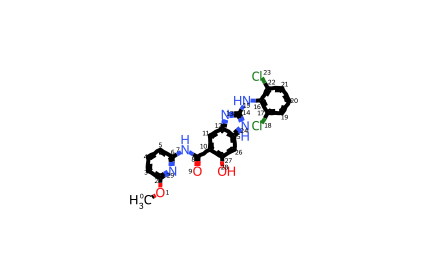 COc1cccc(NC(=O)c2cc3nc(Nc4c(Cl)cccc4Cl)[nH]c3cc2O)n1